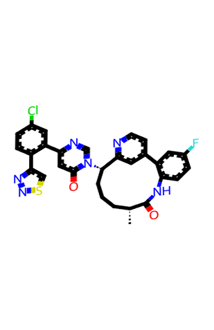 C[C@@H]1CCC[C@H](n2cnc(-c3cc(Cl)ccc3-c3csnn3)cc2=O)c2cc(ccn2)-c2cc(F)ccc2NC1=O